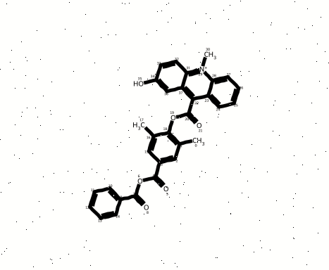 Cc1cc(C(=O)OC(=O)c2ccccc2)cc(C)c1OC(=O)c1c2ccccc2[n+](C)c2ccc(O)cc12